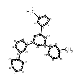 Cc1cccc(-c2cc(-c3cccc(-c4ccccc4)c3)cc(-c3cccc(C)c3)n2)c1